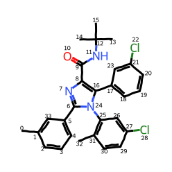 Cc1cccc(-c2nc(C(=O)NC(C)(C)C)c(-c3cccc(Cl)c3)n2-c2cc(Cl)ccc2C)c1